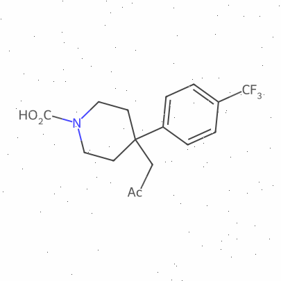 CC(=O)CC1(c2ccc(C(F)(F)F)cc2)CCN(C(=O)O)CC1